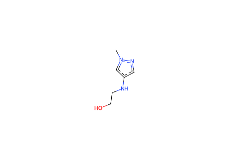 Cn1cc(NCCO)cn1